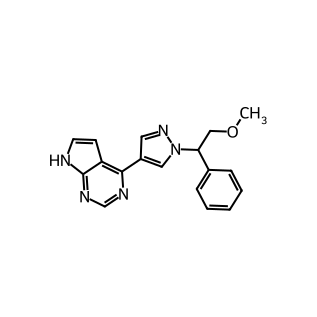 COCC(c1ccccc1)n1cc(-c2ncnc3[nH]ccc23)cn1